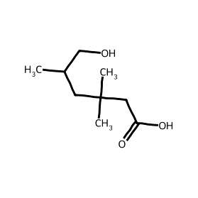 CC(CO)CC(C)(C)CC(=O)O